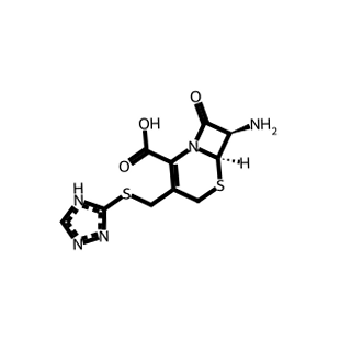 N[C@@H]1C(=O)N2C(C(=O)O)=C(CSc3nnc[nH]3)CS[C@H]12